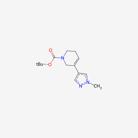 Cn1cc(C2=CCCN(C(=O)OC(C)(C)C)C2)cn1